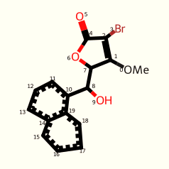 COC1=C(Br)C(=O)OC1C(O)c1cccc2ccccc12